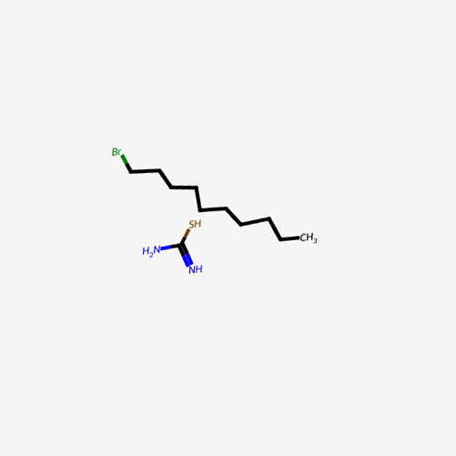 CCCCCCCCCCBr.N=C(N)S